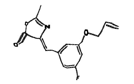 C=CCOc1cc(F)cc(/C=C2\N=C(C)OC2=O)c1